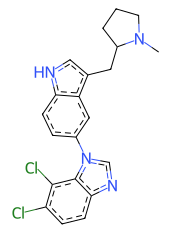 CN1CCCC1Cc1c[nH]c2ccc(-n3cnc4ccc(Cl)c(Cl)c43)cc12